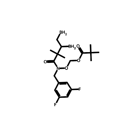 BCC(B)C(C)(C)C(=O)N(Cc1cc(F)cc(F)c1)OCOC(=O)C(C)(C)C